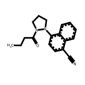 CCCC(=O)N1CCCN1c1ccc(C#N)c2ccccc12